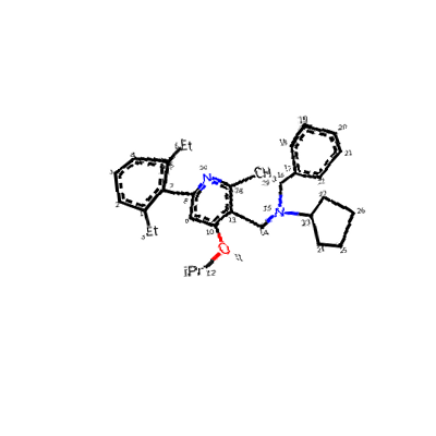 CCc1cccc(CC)c1-c1cc(OC(C)C)c(CN(Cc2ccccc2)C2CCCC2)c(C)n1